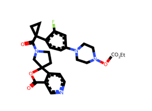 CCOC(=O)ON1CCN(c2ccc(C3(C(=O)N4CCC5(C4)OC(=O)c4cnccc45)CC3)c(F)c2)CC1